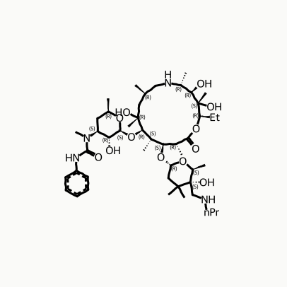 CCCNC[C@]1(O)[C@H](C)O[C@@H](O[C@H]2[C@H](C)[C@@H](O[C@@H]3O[C@H](C)C[C@H](N(C)C(=O)Nc4ccccc4)[C@H]3O)[C@](C)(O)C[C@@H](C)CN[C@H](C)[C@@H](O)[C@](C)(O)[C@@H](CC)OC(=O)[C@@H]2C)CC1(C)C